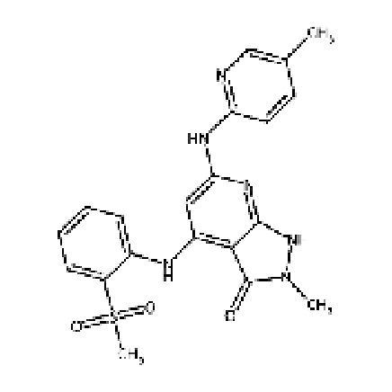 Cc1ccc(Nc2cc(Nc3ccccc3S(C)(=O)=O)c3c(=O)n(C)[nH]c3n2)nc1